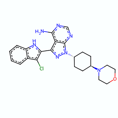 Nc1ncnc2c1c(-c1[nH]c3ccccc3c1Cl)nn2[C@H]1CC[C@H](N2CCOCC2)CC1